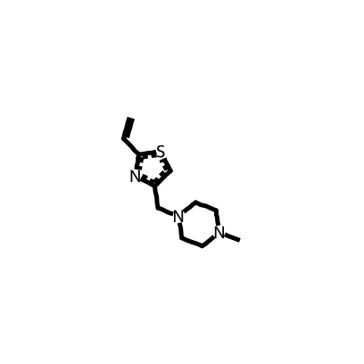 C=Cc1nc(CN2CCN(C)CC2)cs1